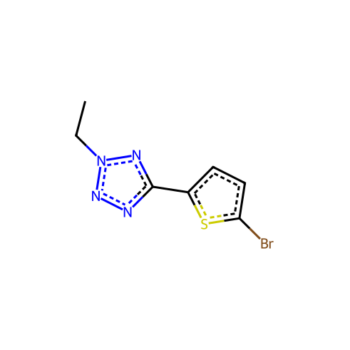 CCn1nnc(-c2ccc(Br)s2)n1